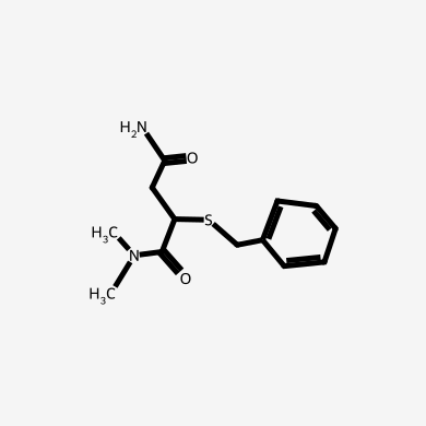 CN(C)C(=O)C(CC(N)=O)SCc1ccccc1